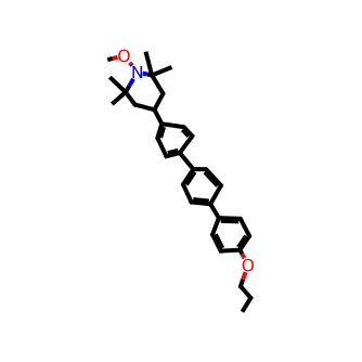 CCCOc1ccc(-c2ccc(-c3ccc(C4CC(C)(C)N(OC)C(C)(C)C4)cc3)cc2)cc1